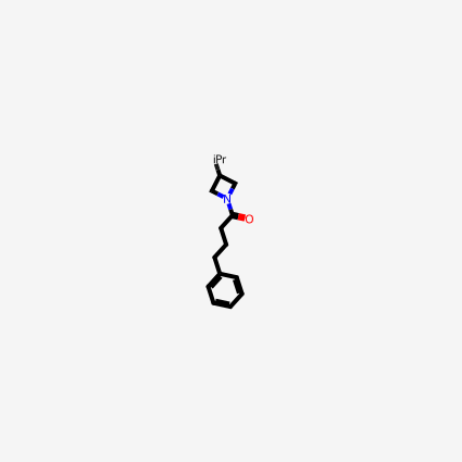 CC(C)C1CN(C(=O)CCCc2ccccc2)C1